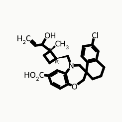 C=CC(O)[C@@]1(C)CC[C@@H]1CN1CC2(CCCc3cc(Cl)ccc32)COc2ccc(C(=O)O)cc21